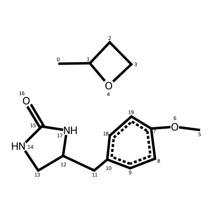 CC1CCO1.COc1ccc(CC2CNC(=O)N2)cc1